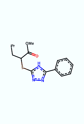 COC(=O)C(CC(C)C)Sc1nnc(-c2ccccc2)[nH]1